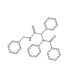 O=C(NCc1ccccc1)C(c1ccccc1)N(C(=O)c1ccccc1)c1ccccc1